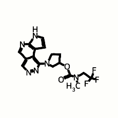 CN(CC(F)(F)F)C(=O)OC1CCN(c2nncc3cnc4[nH]ccc4c23)C1